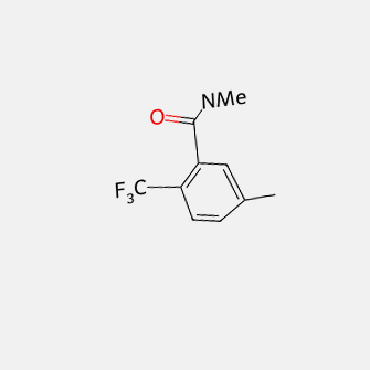 CNC(=O)c1cc(C)ccc1C(F)(F)F